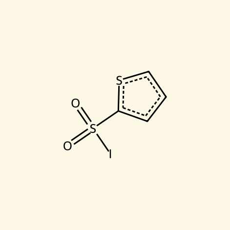 O=S(=O)(I)c1cccs1